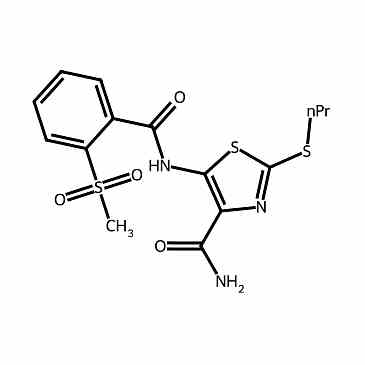 CCCSc1nc(C(N)=O)c(NC(=O)c2ccccc2S(C)(=O)=O)s1